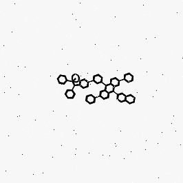 c1ccc(-c2ccc3c(-c4ccc5ccccc5c4)c4cc(-c5ccccc5)ccc4c(-c4cccc(-c5ccc6c(-c7ccccc7)c(-c7ccccc7)oc6c5)c4)c3c2)cc1